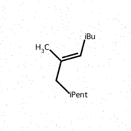 CCCC(C)CC(C)=CC(C)CC